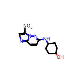 O=[N+]([O-])c1cnc2ccc(NC3CCC(O)CC3)nn12